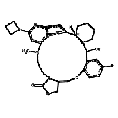 CN1CCN2C(=O)OCC2COc2ccc(F)cc2C(O)N2CCCC[C@H]2c2cc3nc(N4CCC4)cc1n3n2